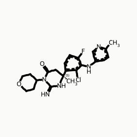 Cc1ccc(Nc2c(F)ccc([C@]3(C)CC(=O)N(C4CCOCC4)C(=N)N3)c2Cl)cn1